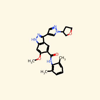 COc1cc2[nH]nc(-c3cnn(C4CCOC4)c3)c2cc1C(=O)Nc1c(C)cccc1C